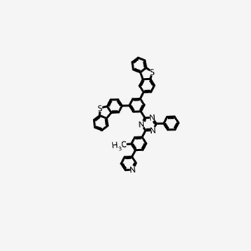 Cc1cc(-c2nc(-c3ccccc3)nc(-c3cc(-c4ccc5sc6ccccc6c5c4)cc(-c4ccc5sc6ccccc6c5c4)c3)n2)ccc1-c1cccnc1